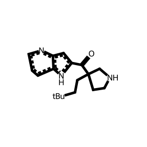 CC(C)(C)CCC1(C(=O)c2cc3ncccc3[nH]2)CCNC1